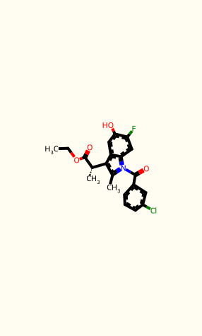 CCOC(=O)[C@@H](C)c1c(C)n(C(=O)c2cccc(Cl)c2)c2cc(F)c(O)cc12